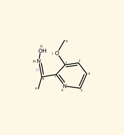 COc1cccnc1/C(C)=N\O